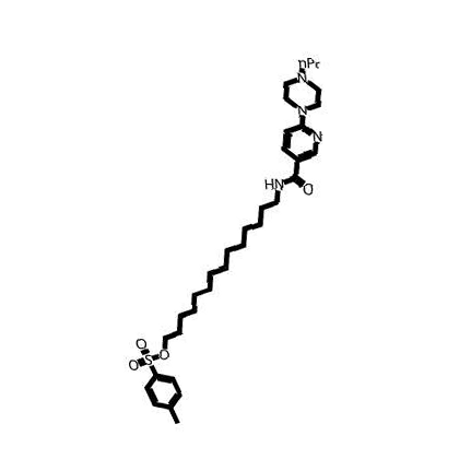 CCCN1CCN(c2ccc(C(=O)NCCCCCCCCCCCCCCOS(=O)(=O)c3ccc(C)cc3)cn2)CC1